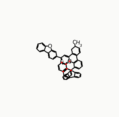 CC1C=CC(c2cccc3c2Oc2ccccc2C32c3ccccc3-c3ccccc32)=C(c2cc(-c3ccc4c(c3)oc3ccccc34)nc(-c3ccccc3)n2)C1